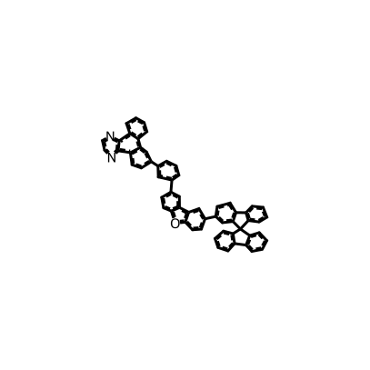 c1cc(-c2ccc3oc4ccc(-c5ccc6c(c5)C5(c7ccccc7-c7ccccc75)c5ccccc5-6)cc4c3c2)cc(-c2ccc3c(c2)c2ccccc2c2nccnc32)c1